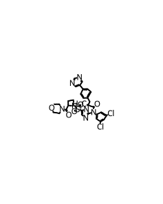 CC1(Cc2ccc(-c3cncnc3)cc2)C(=O)N(c2cc(Cl)cc(Cl)c2)c2ncc(S(=O)(=O)N3CCC3C(=O)N3CCOCC3)n21